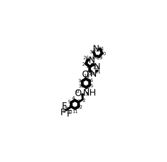 O=C(Cc1ccc(C(F)(F)F)cc1)Nc1ccc(Oc2ncnc3c2ccn3-c2cccnc2)cc1